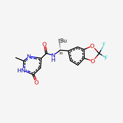 Cc1nc(C(=O)N[C@@H](c2ccc3c(c2)OC(F)(F)O3)C(C)(C)C)cc(=O)[nH]1